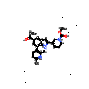 CCc1ccc(-c2cc(C(=O)OC)cc3cc(C4=CCCN(C(=O)OC(C)(C)C)C4)[nH]c23)c(C)n1